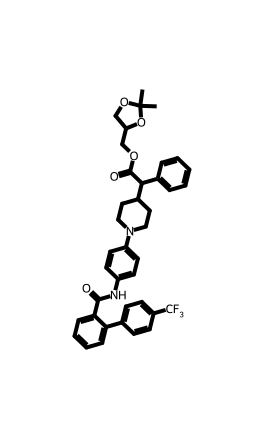 CC1(C)OCC(COC(=O)C(c2ccccc2)C2CCN(c3ccc(NC(=O)c4ccccc4-c4ccc(C(F)(F)F)cc4)cc3)CC2)O1